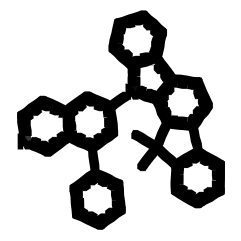 CC1(C)c2ccccc2-c2ccc3c4ccccc4n(-c4cc(-c5ccccc5)c5cnccc5c4)c3c21